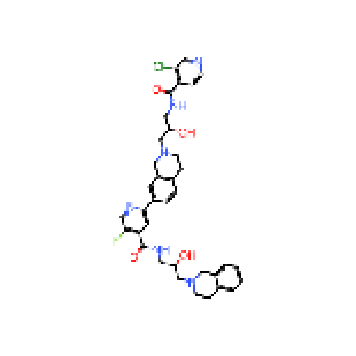 O=C(NCC(O)CN1CCc2ccccc2C1)c1cc(-c2ccc3c(c2)CN(CC(O)CNC(=O)c2ccncc2Cl)CC3)ncc1F